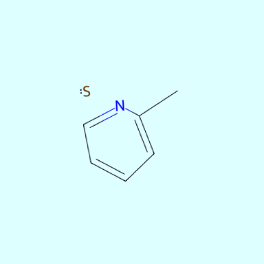 Cc1ccccn1.[S]